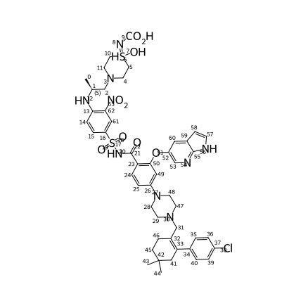 C[C@@H](CN1CC[SH](O)(=NC(=O)O)CC1)Nc1ccc(S(=O)(=O)NC(=O)c2ccc(N3CCN(CC4=C(c5ccc(Cl)cc5)CC(C)(C)CC4)CC3)cc2Oc2cnc3[nH]ccc3c2)cc1[N+](=O)[O-]